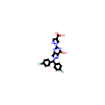 O=C(O)c1cnn(-c2nc(O)c3nn(C(c4ccc(Cl)cc4)c4ccc(Cl)cc4)cc3n2)c1